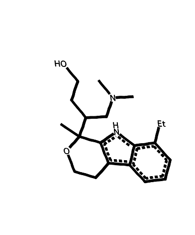 CCc1cccc2c3c([nH]c12)C(C)(C(CCO)CN(C)C)OCC3